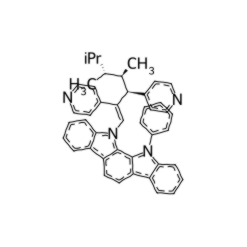 CC(C)[C@@H](C)[C@@H](C)[C@H](/C(=C/n1c2ccccc2c2ccc3c4ccccc4n(-c4ccccc4)c3c21)c1ccncc1)c1ccncc1